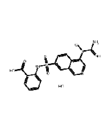 Cl.N=C(N)N(Cl)c1cncc2cc(S(=O)(=O)Nc3ccccc3C(=O)O)ccc12